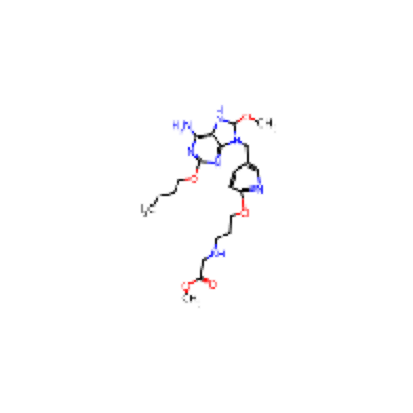 CCCCOc1nc(N)c2c(n1)N(Cc1ccc(OCCCNCC(=O)OC)nc1)C(OC)N2